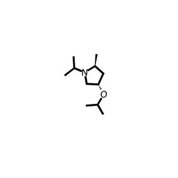 CC(C)O[C@H]1C[C@H](C)N(C(C)C)C1